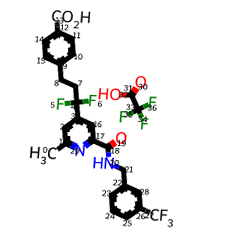 Cc1cc(C(F)(F)CCc2ccc(C(=O)O)cc2)cc(C(=O)NCc2cccc(C(F)(F)F)c2)n1.O=C(O)C(F)(F)F